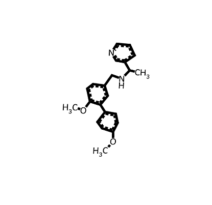 COc1ccc(-c2cc(CNC(C)c3cccnc3)ccc2OC)cc1